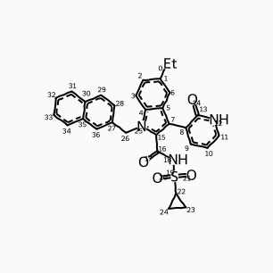 CCc1ccc2c(c1)c(-c1ccc[nH]c1=O)c(C(=O)NS(=O)(=O)C1CC1)n2Cc1ccc2ccccc2c1